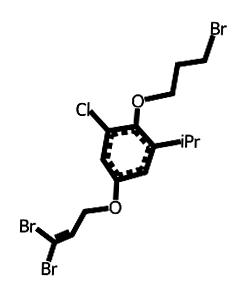 CC(C)c1cc(OCC=C(Br)Br)cc(Cl)c1OCCCBr